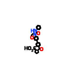 O=C(c1ccc(-c2ccc3c(c2)OCCN3C(=O)Nc2ccccc2)cc1)C1CCC[C@H]1C(=O)O